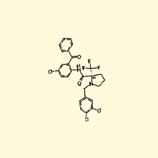 O=C(c1ccccc1)c1cc(Cl)ccc1NC(=O)[C@@]1(C(F)(F)F)CCCN1Cc1ccc(Cl)c(Cl)c1